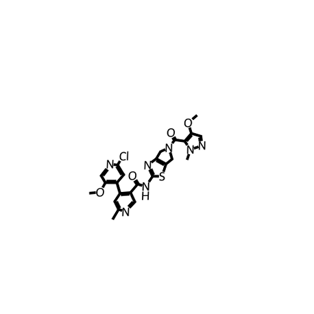 COc1cnc(Cl)cc1-c1cc(C)ncc1C(=O)Nc1nc2c(s1)CN(C(=O)c1c(OC)cnn1C)C2